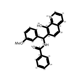 COc1cccc(C(NC(=O)c2ccccc2)c2ccc3cccnc3c2O)c1